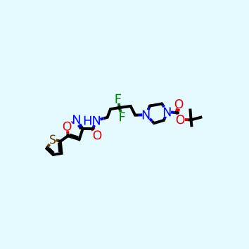 CC(C)(C)OC(=O)N1CCN(CCC(F)(F)CCNC(=O)c2cc(-c3cccs3)on2)CC1